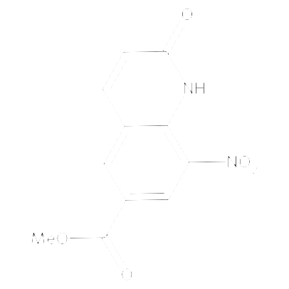 COC(=O)c1cc([N+](=O)[O-])c2[nH]c(=O)ccc2c1